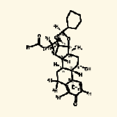 [2H]C1=C[C@@]2(C)C(=C([2H])C1=O)C([2H])([2H])C[C@@H]1[C@@H]2[C@@H](O)C[C@@]2(C)[C@H]1C[C@H]1O[C@@]([2H])(C3CCCCC3)O[C@]12C(=O)C([2H])([2H])OC(=O)C(C)C